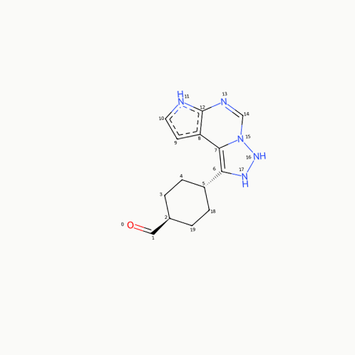 O=C[C@H]1CC[C@H](C2=C3c4cc[nH]c4N=CN3NN2)CC1